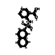 O=C(O)c1cnccc1NS(=O)(=O)c1ccc2ccccc2c1